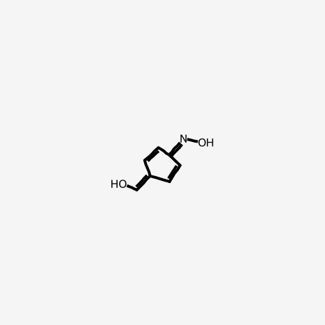 OC=C1C=CC(=NO)C=C1